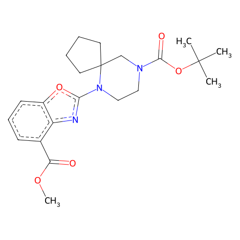 COC(=O)c1cccc2oc(N3CCN(C(=O)OC(C)(C)C)CC34CCCC4)nc12